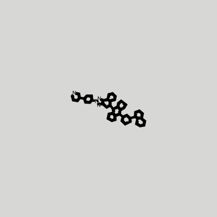 c1cncc(-c2ccc(-n3nc4cc(-c5c6ccccc6c(-c6cccc(-c7cccc8ccccc78)c6)c6ccccc56)c5ccccc5c4n3)cc2)c1